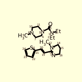 CCN(CC)C(=O)N1CCN(C)CC1.CN1CCCN=C1/C=C/c1cccs1